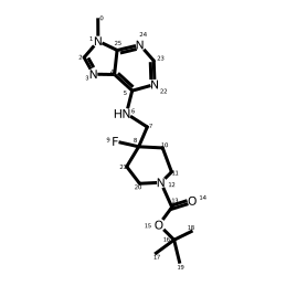 Cn1cnc2c(NCC3(F)CCN(C(=O)OC(C)(C)C)CC3)ncnc21